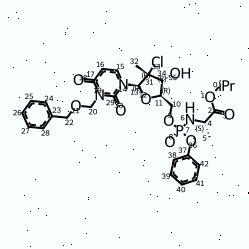 CC(C)OC(=O)[C@H](C)NP(=O)(OC[C@H]1O[C@@H](n2ccc(=O)n(COCc3ccccc3)c2=O)[C@](C)(Cl)[C@@H]1O)Oc1ccccc1